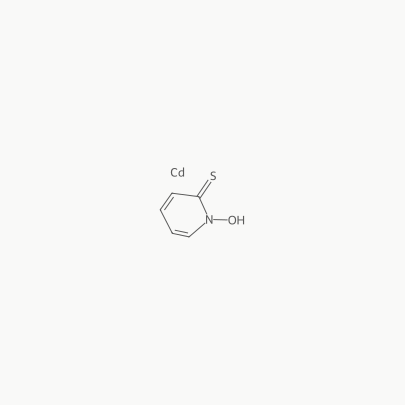 On1ccccc1=S.[Cd]